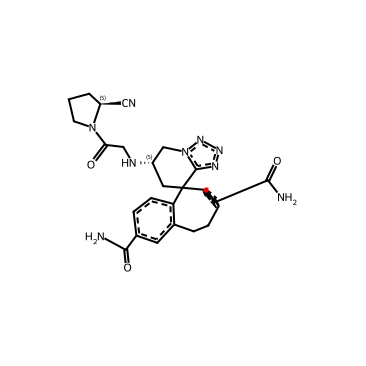 N#C[C@@H]1CCCN1C(=O)CN[C@@H]1Cn2nnnc2C2(C1)c1ccc(C(N)=O)cc1CCc1cc(C(N)=O)ccc12